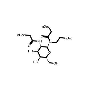 CCCCCCCCCCCCN(C(=O)CCCCCCCCCCC)[C@@H]1O[C@H](CO)[C@@H](O)[C@H](O)[C@@H]1NC(=O)CCCCCCCCCCC